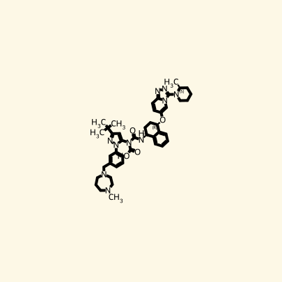 C[C@H]1CCCCN1c1nnc2ccc(O[C@@H]3CC[C@H](NC(=O)N(C(=O)O)c4cc(C(C)(C)C)nn4-c4cccc(CN5CCCN(C)CC5)c4)c4ccccc43)cn12